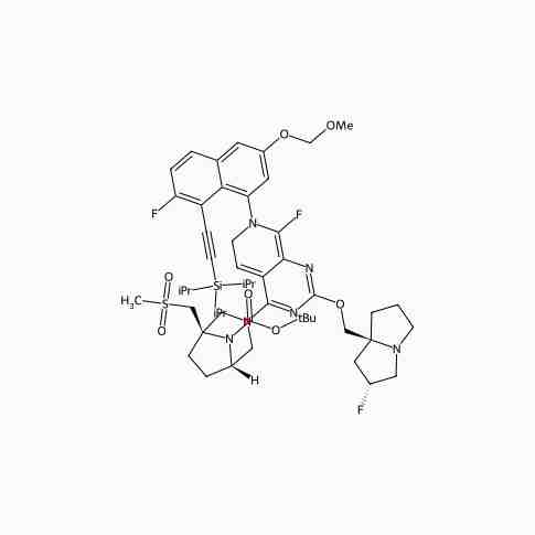 COCOc1cc(N2CC=c3c(N4C[C@@H]5CC[C@](CS(C)(=O)=O)(C4)N5C(=O)OC(C)(C)C)nc(OC[C@@]45CCCN4C[C@H](F)C5)nc3=C2F)c2c(C#C[Si](C(C)C)(C(C)C)C(C)C)c(F)ccc2c1